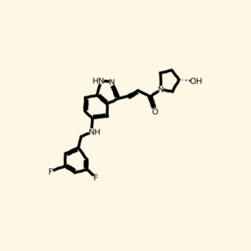 O=C(/C=C/c1n[nH]c2ccc(NCc3cc(F)cc(F)c3)cc12)N1CC[C@H](O)C1